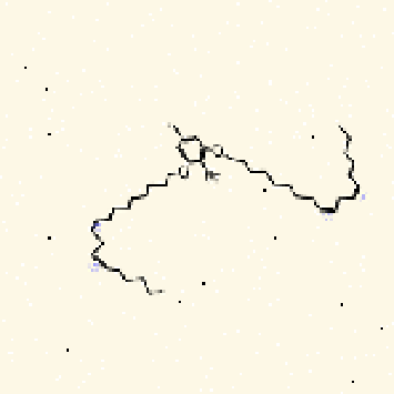 [CH2]c1cc(OCCCCCCCC/C=C\C/C=C\CCCCC)c(Br)c(OCCCCCCCC/C=C\C/C=C\CCCCC)c1